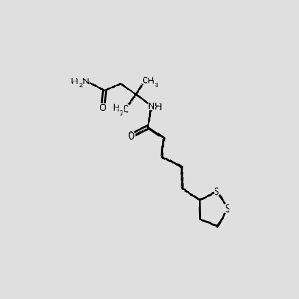 CC(C)(CC(N)=O)NC(=O)CCCCC1CCSS1